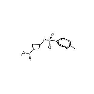 COC(=O)C1CC(OS(=O)(=O)c2ccc(C)cc2)C1